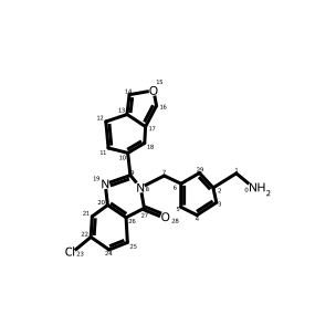 NCc1cccc(Cn2c(-c3ccc4cocc4c3)nc3cc(Cl)ccc3c2=O)c1